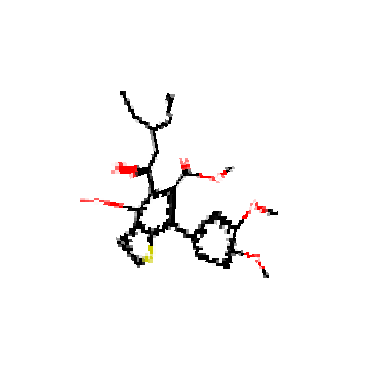 CCC(CC)CC(=O)c1c(C(=O)OC)c(-c2ccc(OC)c(OC)c2)c2sccc2c1O